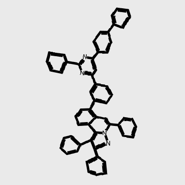 c1ccc(-c2ccc(-c3cc(-c4cccc(-c5cccc6c5cc(-c5ccccc5)n5nc(-c7ccccc7)c(-c7ccccc7)c65)c4)nc(-c4ccccc4)n3)cc2)cc1